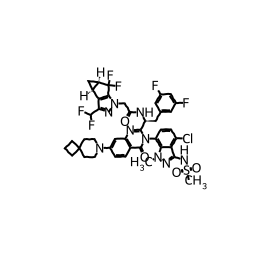 Cn1nc(NS(C)(=O)=O)c2c(Cl)ccc(-n3c([C@H](Cc4cc(F)cc(F)c4)NC(=O)Cn4nc(C(F)F)c5c4C(F)(F)[C@@H]4C[C@H]54)nc4cc(N5CCC6(CCC6)CC5)ccc4c3=O)c21